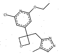 CCOc1cc(C2(Cc3nncn3C)COC2)cc(Cl)n1